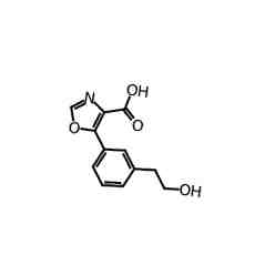 O=C(O)c1ncoc1-c1cccc(CCO)c1